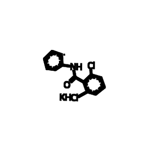 O=C(Nc1[c]cccc1)c1c(Cl)cccc1Cl.[KH]